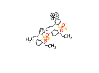 C=CCc1ccccc1S(c1ccccc1CC=C)=P([O-])([O-])[S-].C=CCc1ccccc1S(c1ccccc1CC=C)=P([O-])([O-])[S-].[Zn+2].[Zn+2].[Zn+2]